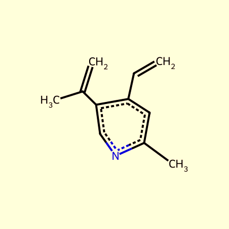 C=Cc1cc(C)ncc1C(=C)C